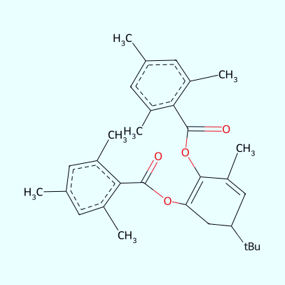 CC1=CC(C(C)(C)C)CC(OC(=O)c2c(C)cc(C)cc2C)=C1OC(=O)c1c(C)cc(C)cc1C